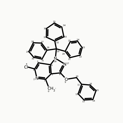 [CH2]c1nc(Cl)cc2c1c(OCc1ccccc1)nn2C(c1ccccc1)(c1ccccc1)c1ccccc1